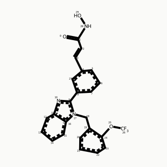 O=C(C=Cc1cccc(-c2nc3ccccc3n2Cc2ccccc2OC(F)(F)F)c1)NO